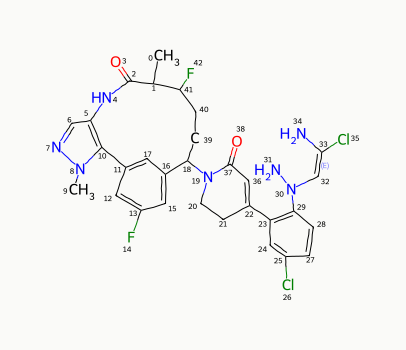 CC1C(=O)Nc2cnn(C)c2-c2cc(F)cc(c2)C(N2CCC(c3cc(Cl)ccc3N(N)/C=C(\N)Cl)=CC2=O)CCC1F